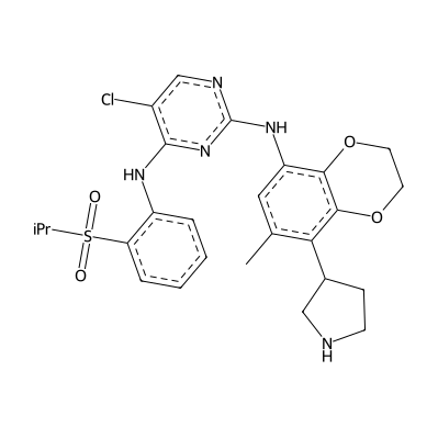 Cc1cc(Nc2ncc(Cl)c(Nc3ccccc3S(=O)(=O)C(C)C)n2)c2c(c1C1CCNC1)OCCO2